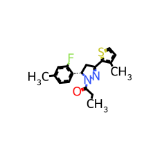 CCC(=O)N1N=C(c2sccc2C)C[C@H]1c1ccc(C)cc1F